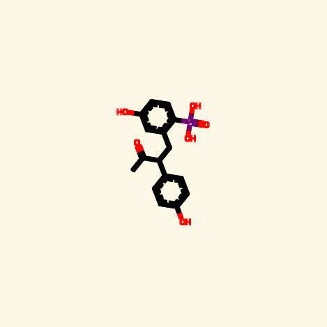 CC(=O)C(Cc1cc(O)ccc1P(=O)(O)O)c1ccc(O)cc1